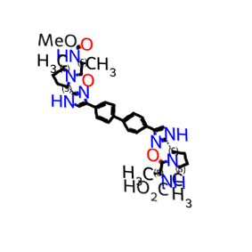 COC(=O)N[C@@H](C)C(=O)N1[C@@H](C)CC[C@H]1c1nc(-c2ccc(-c3ccc(-c4c[nH]c([C@@H]5CC[C@H](C)N5C(=O)[C@H](C)NC(=O)O)n4)cc3)cc2)c[nH]1